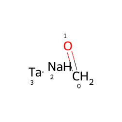 C=O.[NaH].[Ta]